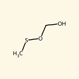 CSOCO